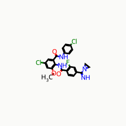 COc1cc(Cl)cc(C(=O)Nc2ccc(Cl)cc2)c1NC(=O)c1ccc(C(=N)N2CC2)cc1F